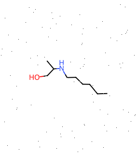 CCCCCCNC(C)CO